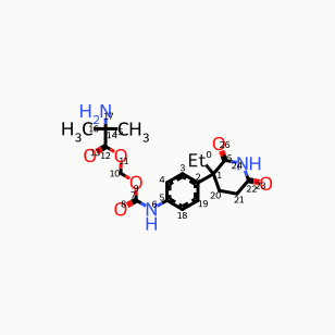 CCC1(c2ccc(NC(=O)OCOC(=O)C(C)(C)N)cc2)CCC(=O)NC1=O